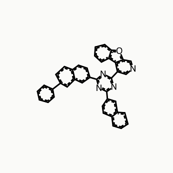 c1ccc(-c2ccc3ccc(-c4nc(-c5ccc6ccccc6c5)nc(-c5cncc6oc7ccccc7c56)n4)cc3c2)cc1